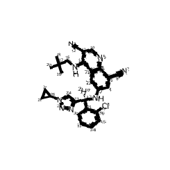 [2H][C@@](Nc1cc(C#N)c2ncc(C#N)c(NCC(C)(C)C)c2c1)(c1cn(C2CC2)nn1)c1ccccc1Cl